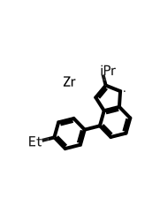 CCc1ccc(-c2cccc3c2C=C(C(C)C)[CH]3)cc1.[Zr]